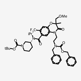 COCC1(C)Oc2cc(C(F)(F)F)c(C(=O)N(C(C)C)[C@@H]3CCCN(C(=O)OC(C)(C)C)C3)cc2N(CCN(Cc2ccccc2)C(=O)OCc2ccccc2)C1=O